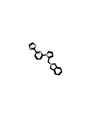 c1cc(-c2nccs2)nc(-n2cccc2CN2Cc3ccccc3C2)c1